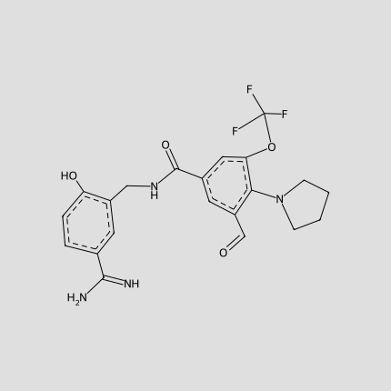 N=C(N)c1ccc(O)c(CNC(=O)c2cc(C=O)c(N3CCCC3)c(OC(F)(F)F)c2)c1